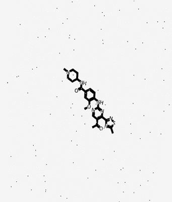 COc1cc(C(=O)NC2CCN(C)CC2)ccc1Nc1ncc(C(C)=O)c(-c2nsc(C)n2)n1